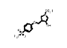 CS(=O)(=O)c1ccc(OCC2CN(C(=O)O)CC2O)cc1